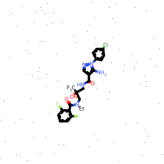 CCN(CC(O)(CNC(=O)c1cnn(-c2ccc(Cl)cc2)c1N)C(F)(F)F)C(=O)c1c(F)cccc1F